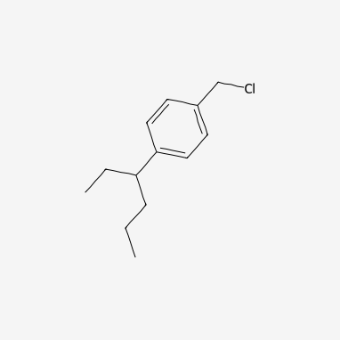 CCCC(CC)c1ccc(CCl)cc1